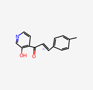 Cc1ccc(/C=C/C(=O)c2ccncc2O)cc1